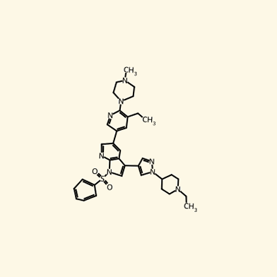 CCc1cc(-c2cnc3c(c2)c(-c2cnn(C4CCN(CC)CC4)c2)cn3S(=O)(=O)c2ccccc2)cnc1N1CCN(C)CC1